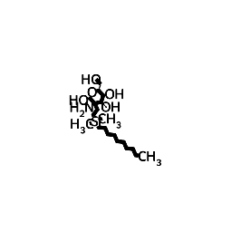 CCCCCCCCCC[Si](C)(C)CC[C@]1(N)[C@H](O)O[C@H](CO)[C@@H](O)[C@@H]1O